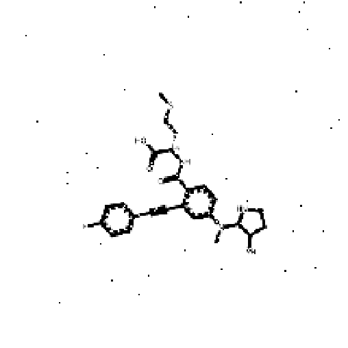 CSCC[C@H](NC(=O)c1ccc(N(C)C2NCCC2S)cc1C#Cc1ccc(F)cc1)C(=O)O